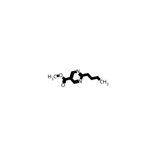 CCCCc1ncc(C(=O)OC)cn1